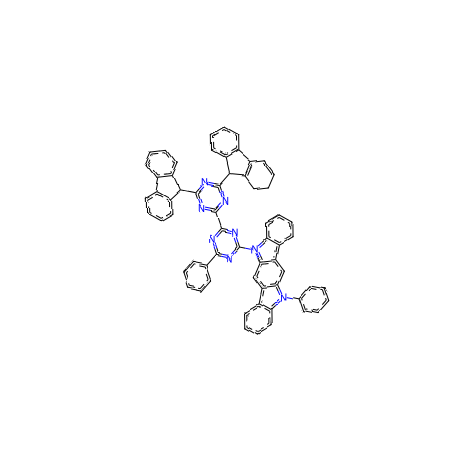 C1=CC2=C(CC1)C(c1nc(-c3nc(-c4ccccc4)nc(-n4c5ccccc5c5cc6c(cc54)c4ccccc4n6-c4ccccc4)n3)nc(C3c4ccccc4-c4ccccc43)n1)c1ccccc12